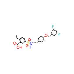 CCc1ccc(S(=O)(=O)NCCc2ccc(OCc3cc(F)cc(F)c3)cc2)cc1C(=O)O